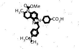 COC(=O)N1c2ccc3c(nc(Cc4ccc(N(C)C)cc4)n3[C@H]3CC[C@H](C(=O)O)CC3)c2CC[C@@H]1C